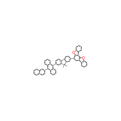 CC1(C)c2cc(-c3c4ccccc4c(-c4ccc5ccccc5c4)c4ccccc34)ccc2-c2ccc(-c3cc4c5ccccc5oc4c4c3oc3ccccc34)cc21